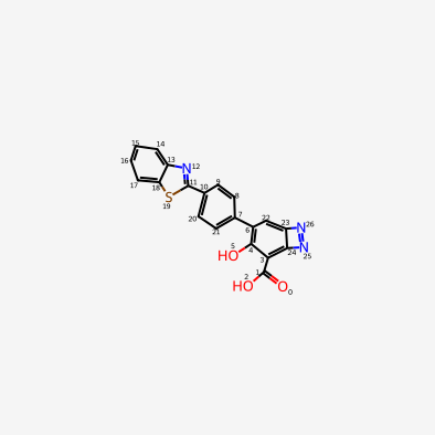 O=C(O)c1c(O)c(-c2ccc(-c3nc4ccccc4s3)cc2)cc2c1N=N2